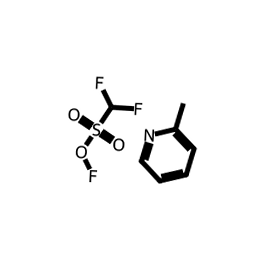 Cc1ccccn1.O=S(=O)(OF)C(F)F